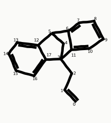 C=CCC12CC(c3ccccc31)c1ccccc12